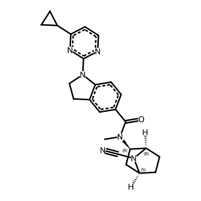 CN(C(=O)c1ccc2c(c1)CCN2c1nccc(C2CC2)n1)[C@@H]1C[C@@H]2CC[C@H]1N2C#N